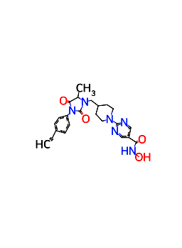 C#Cc1ccc(N2C(=O)C(C)N(CC3CCN(c4ncc(C(=O)NO)cn4)CC3)C2=O)cc1